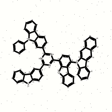 c1ccc(-n2c3ccccc3c3ccc(-c4nc(-c5ccc6sc7ccccc7c6c5)nc(-c5ccc(-n6c7ccccc7c7cc8ccccc8cc76)c6c5oc5ccccc56)n4)cc32)cc1